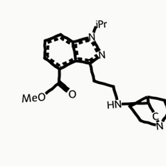 COC(=O)c1cccc2c1c(CCNC1CN3CCC1CC3)nn2C(C)C